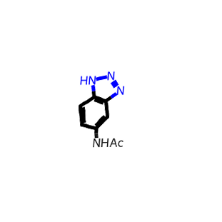 CC(=O)Nc1ccc2[nH]nnc2c1